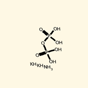 N.O=P(O)(O)OP(=O)(O)O.[KH].[KH]